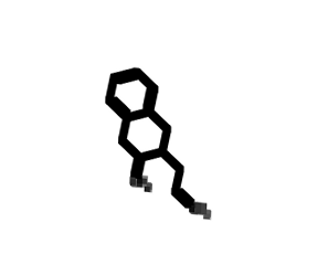 C=CCC1Cc2ccccc2CC1=C